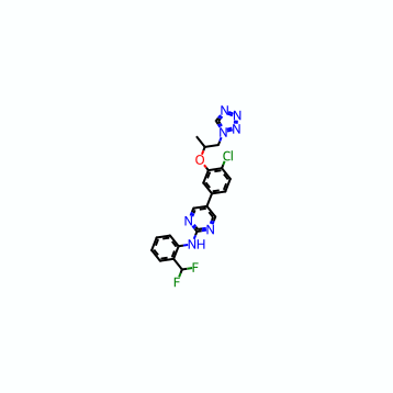 CC(Cn1cnnn1)Oc1cc(-c2cnc(Nc3ccccc3C(F)F)nc2)ccc1Cl